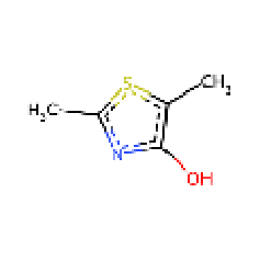 Cc1nc(O)c(C)s1